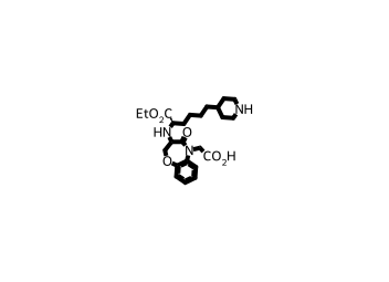 CCOC(=O)[C@H](CCCCC1CCNCC1)NC1COc2ccccc2N(CC(=O)O)C1=O